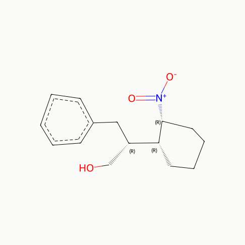 O=[N+]([O-])[C@@H]1CCCC[C@@H]1[C@H](CO)Cc1ccccc1